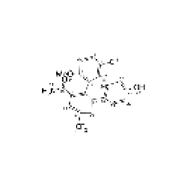 COc1ccc(Cl)cc1-c1c(C(N)=O)cc(C(F)(F)F)cc1-c1ccc(O)cc1F